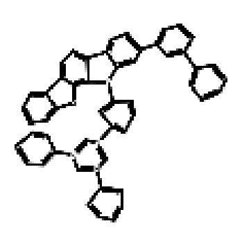 c1ccc(-c2cccc(-c3ccc4c5ccc6c7ccccc7sc6c5n(-c5cccc(-[n+]6c[n+](-c7ccccc7)c[n+](-c7ccccc7)c6)c5)c4c3)c2)cc1